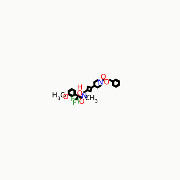 COc1cccc(C(O)(C(=O)N(C)CC2CC(C3CCN(C(=O)OCc4ccccc4)CC3)C2)C(F)(F)F)c1